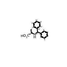 C[C@H](NC(c1ccccc1)c1ccccc1)C(=O)O